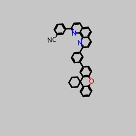 N#Cc1cccc(-c2ccc3ccc4ccc(-c5cccc(-c6ccc7c(c6)C6(CCCCC6)c6ccccc6O7)c5)nc4c3n2)c1